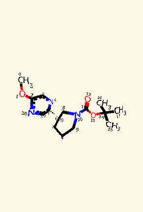 COc1cnc([C@H]2CCCN(C(=O)OC(C)(C)C)C2)cn1